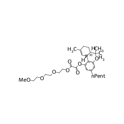 CCCCCc1cc(OC(=O)C(=O)OCCOCCOCCOC)c2c(c1)OC(C)(C)[C@@H]1CCC(C)=C[C@@H]21